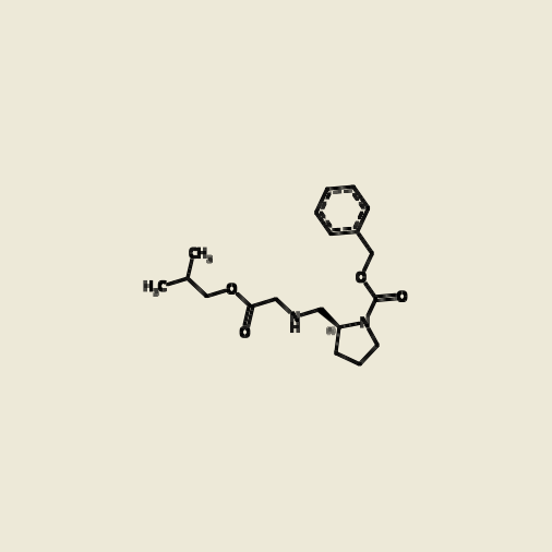 CC(C)COC(=O)CNC[C@@H]1CCCN1C(=O)OCc1ccccc1